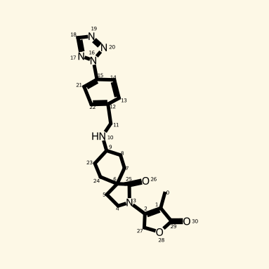 CC1=C(N2CCC3(CCC(NCc4ccc(-n5ncnn5)cc4)CC3)C2=O)COC1=O